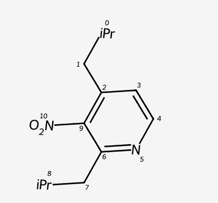 CC(C)Cc1ccnc(CC(C)C)c1[N+](=O)[O-]